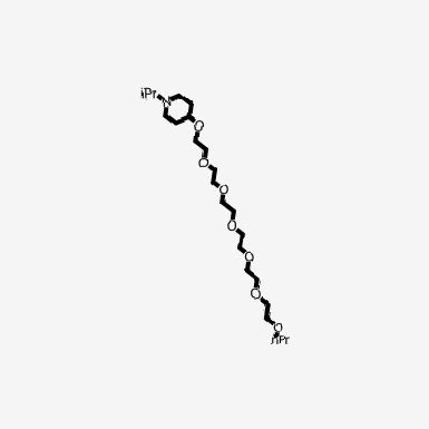 CCCOCCOCCOCCOCCOCCOCCOC1CCN(C(C)C)CC1